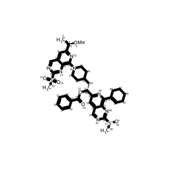 CO[C@H](C)c1cc2cnc(S(C)(=O)=O)nc2c(N2CCC(C[C@@H](OC(=O)c3ccccc3)c3cc4cnc([S+](C)[O-])nc4c(C4=CCCCC4)n3)CC2)n1